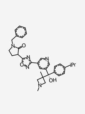 CC(C)c1ccc([C@](O)(c2cncc(-c3noc(C4CCN(Cc5ccccc5)C4=O)n3)c2)C2(C)CN(C)C2)cc1